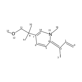 C=C/C(I)=C1/C=CC(C(C)(C)COC)=CN1C